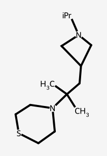 CC(C)N1CC(CC(C)(C)N2CCSCC2)C1